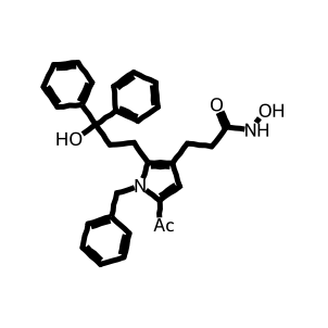 CC(=O)c1cc(CCC(=O)NO)c(CCC(O)(c2ccccc2)c2ccccc2)n1Cc1ccccc1